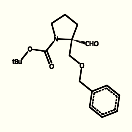 CC(C)(C)OC(=O)N1CCC[C@@]1(C=O)COCc1ccccc1